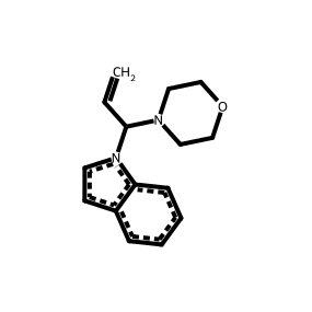 C=CC(N1CCOCC1)n1ccc2ccccc21